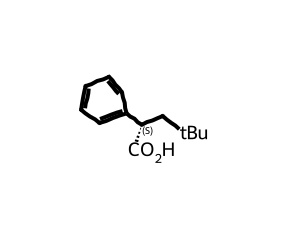 CC(C)(C)C[C@H](C(=O)O)c1ccccc1